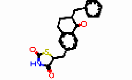 O=C1NC(=O)C(Cc2ccc3c(c2)CCC(Cc2ccccc2)C3=O)S1